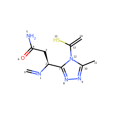 C=N[C@@H](CC(N)=O)c1nnc(C)n1C(=C)S